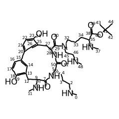 CNCCC[C@@H]1NC(=O)[C@@H](NC)Cc2cc(ccc2O)-c2ccc(O)c(c2)C[C@@H](C(=O)N(CCCC(NC)C(=O)OC(C)(C)C)CCNC)NC1=O